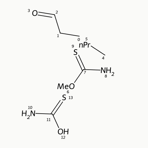 CCC=O.CCCC.COC(N)=S.NC(O)=S